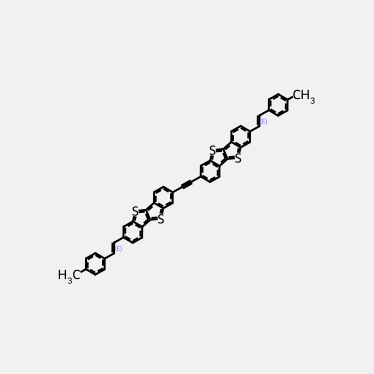 Cc1ccc(/C=C/c2ccc3c(c2)sc2c4ccc(C#Cc5ccc6c(c5)sc5c7ccc(/C=C/c8ccc(C)cc8)cc7sc65)cc4sc32)cc1